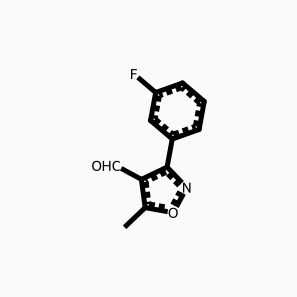 Cc1onc(-c2cccc(F)c2)c1C=O